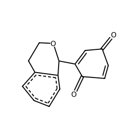 O=C1C=CC(=O)C(C2OCCc3ccccc32)=C1